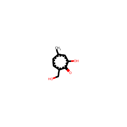 Cc1ccc(CO)c(=O)c(O)c1